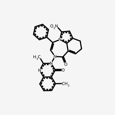 Cc1cccc2nc(C)n(N3C=C(c4ccccc4)n4c([N+](=O)[O-])cc5c4C(=CCC5)C3=O)c(=O)c12